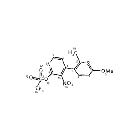 COc1ccc(-c2ccnc(OS(=O)(=O)C(F)(F)F)c2[N+](=O)[O-])c(C)c1